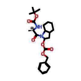 C[C@H](NC(=O)OC(C)(C)C)C(=O)N1C(OC(=O)OCc2ccccc2)CC2CCCCC21